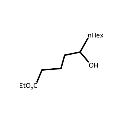 CCCCCCC(O)CCCC(=O)OCC